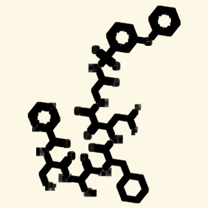 CCC(C)C(NC(=O)C(CC(C)C)NC(=O)c1cnccn1)C(=O)NC(CC1CCCCC1)C(=O)NC(CC(F)F)C(=O)C(=O)NCC(=O)NS(=O)(=O)c1cccc(Oc2ccccc2)c1